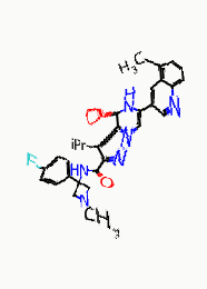 Cc1cccc2ncc(-c3cn4nc(C(=O)NC5(c6ccc(F)cc6)CN(C)C5)c(C(C)C)c4c(=O)[nH]3)cc12